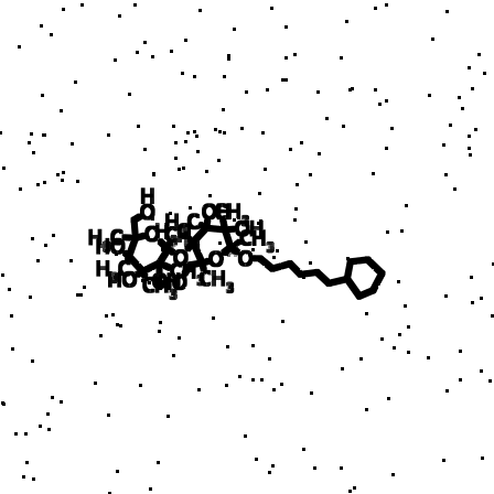 CC1(CO)O[C@](C)(O[C@]2(C)C(C)(CO)O[C@@](C)(OCCCCCCC3CCCCC3)C(C)(O)C2(C)O)C(C)(O)C(C)(O)C1(C)O